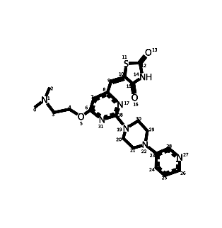 CN(C)CCOc1cc(C=C2SC(=O)NC2=O)nc(N2CCN(c3cccnc3)CC2)n1